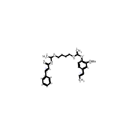 C/C=C/c1ccc(OC(C)OCCCCOC(C)OC(=O)/C=C/c2ccccc2)c(OC)c1